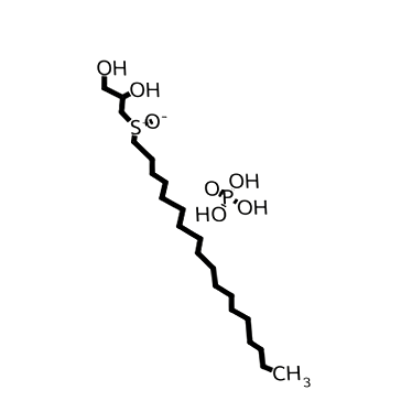 CCCCCCCCCCCCCCCCCC[S+]([O-])CC(O)CO.O=P(O)(O)O